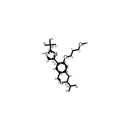 COCCCOc1cc2c(cc1-c1csc(C(C)(C)C)n1)C=NC(C(C)C)C2